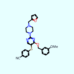 COc1cccc(COc2nc(N3CCN(Cc4ccco4)CC3)ncc2Sc2ccc(C#N)cc2)c1